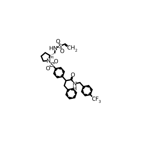 C=CS(=O)(=O)NC[C@H]1CCCN1S(=O)(=O)c1ccc(C(Cc2ccccc2)C(=O)NCc2ccc(C(F)(F)F)cc2)cc1